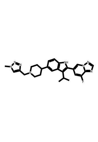 CC(C)c1c(-c2cc(F)c3ncnn3c2)[nH]c2ccc(C3CCN(Cc4cn(C)nn4)CC3)cc12